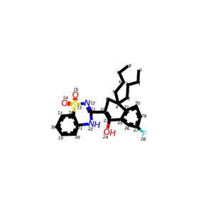 CCCCC1(CCCC)CC(C2=NS(=O)(=O)c3ccccc3N2)=C(O)c2cc(F)ccc21